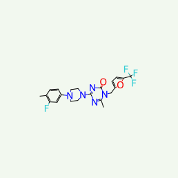 Cc1ccc(N2CCN(c3nc(C)n(Cc4ccc(C(F)(F)F)o4)c(=O)n3)CC2)cc1F